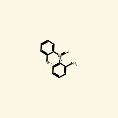 Nc1ccccc1[SeH2](=[Se])c1ccccc1N